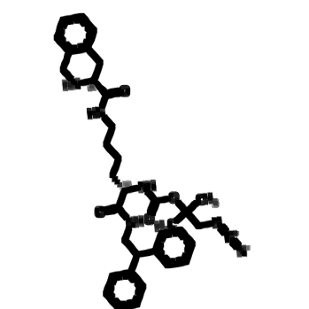 CC(C)(CN=[N+]=[N-])OC(=O)N[C@@H](CCCCNC(=O)[C@@H]1Cc2ccccc2CN1)C(=O)NCC(c1ccccc1)c1ccccc1